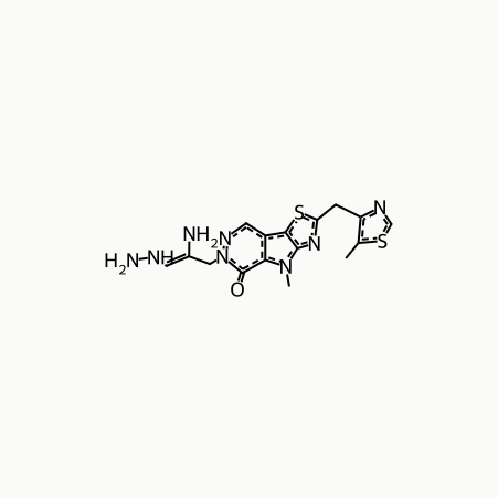 Cc1scnc1Cc1nc2c(s1)c1cnn(C/C(N)=C/NN)c(=O)c1n2C